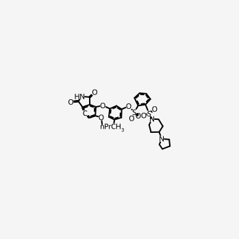 CCCOc1ccc2c(c1Oc1cc(C)cc(OS(=O)(=O)c3ccccc3S(=O)(=O)N3CCC(N4CCCC4)CC3)c1)C(=O)NC2=O